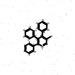 Cc1cnc(-c2ccccc2)c(-c2ccccc2)c1-c1ccccc1